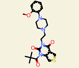 COc1ccccc1N1CCN(CCn2c(=O)c3cscc3n(C(=O)C(C)(C)C)c2=O)CC1